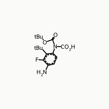 CC(C)(C)OC(=O)N(C(=O)O)c1ccc(N)c(F)c1C(C)(C)C